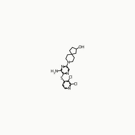 Nc1nc(N2CCC3(CCC(O)C3)CC2)cnc1Sc1ccnc(Cl)c1Cl